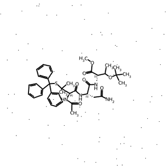 COC(=O)[C@@H](NC(=O)[C@H](CC(N)=O)NC(=O)[C@@H](NC(C)=O)C(C)(C)SC(c1ccccc1)(c1ccccc1)c1ccccc1)C(C)OC(C)(C)C